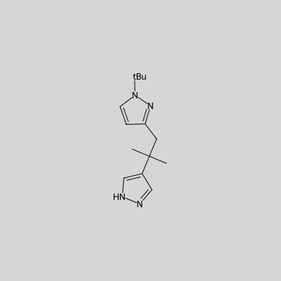 CC(C)(Cc1ccn(C(C)(C)C)n1)c1cn[nH]c1